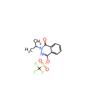 CC(C)n1nc(OS(=O)(=O)C(F)(F)F)c2ccccc2c1=O